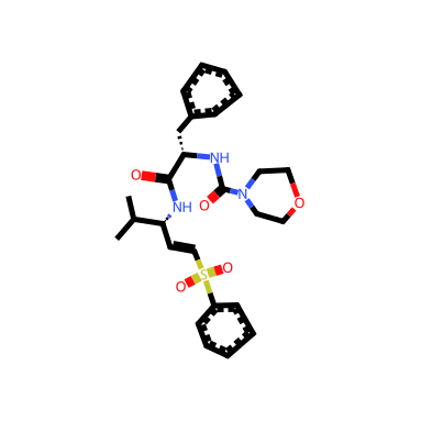 CC(C)[C@@H](/C=C/S(=O)(=O)c1ccccc1)NC(=O)[C@H](Cc1ccccc1)NC(=O)N1CCOCC1